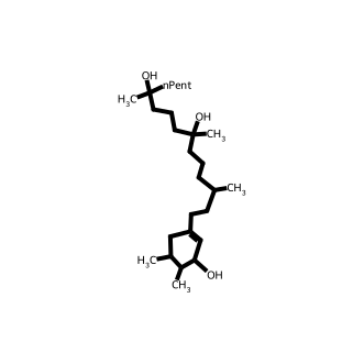 CCCCCC(C)(O)CCCC(C)(O)CCCC(C)CCC1=CC(O)C(C)C(C)C1